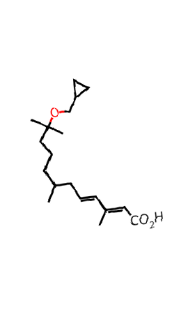 CC(/C=C/CC(C)CCCC(C)(C)OCC1CC1)=C\C(=O)O